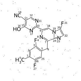 Cc1cc(F)c(Cc2nc(-c3ncc(C#N)c(O)n3)cn3c(F)cnc23)cc1F